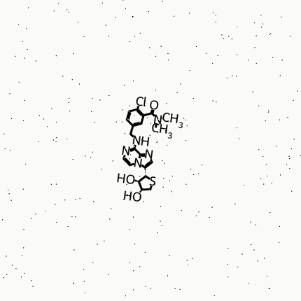 CN(C)C(=O)c1cc(CNc2nccn3c([C@@H]4SC[C@@H](O)[C@H]4O)cnc23)ccc1Cl